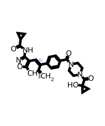 C=C/C(=C\c1c(NC(=O)C2CC2)noc1C)c1ccc(C(=O)N2CCN(C(=O)C3(O)CC3)CC2)cc1